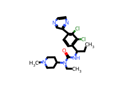 CCC(NC(=O)N(CC)C1CCN(C)CC1)c1ccc(-c2cnccn2)c(Cl)c1Cl